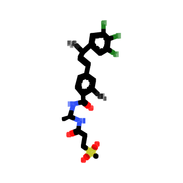 C[C@H](NC(=O)CCS(C)(=O)=O)NC(=O)c1ccc(/C=C/C(c2cc(Cl)c(Cl)c(Cl)c2)C(F)(F)F)cc1C(F)(F)F